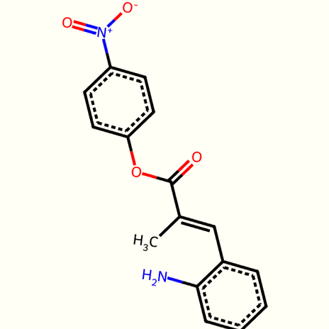 CC(=Cc1ccccc1N)C(=O)Oc1ccc([N+](=O)[O-])cc1